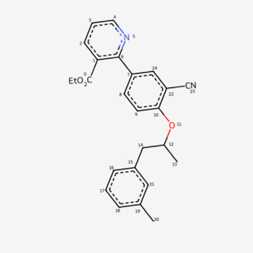 CCOC(=O)c1cccnc1-c1ccc(OC(C)Cc2cccc(C)c2)c(C#N)c1